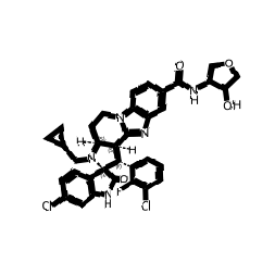 O=C(NC1COCC1O)c1ccc2c(c1)nc1n2CC[C@H]2[C@@H]1[C@H](c1cccc(Cl)c1F)[C@]1(C(=O)Nc3cc(Cl)ccc31)N2CC1CC1